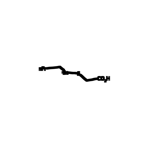 CCC[CH2][Sn][S]CC(=O)O